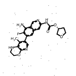 Cc1c(-c2cc3cc(NC(=O)O[C@@H]4CCOC4)ncc3c(N)c2F)cnc2c1NCCO2